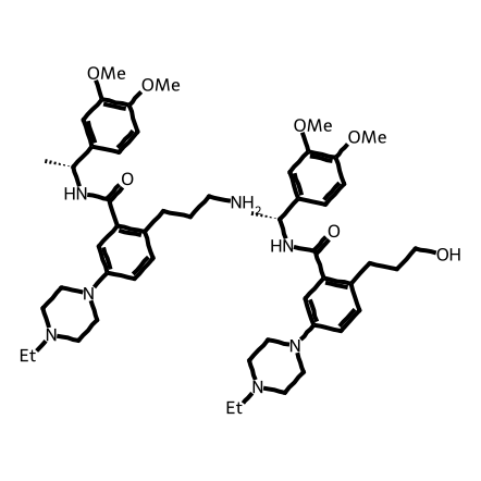 CCN1CCN(c2ccc(CCCN)c(C(=O)N[C@H](C)c3ccc(OC)c(OC)c3)c2)CC1.CCN1CCN(c2ccc(CCCO)c(C(=O)N[C@H](C)c3ccc(OC)c(OC)c3)c2)CC1